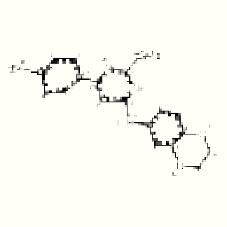 CSc1nc(Nc2ccc3c(c2)OCCO3)cc(-c2ccc(C(C)(C)C)cc2)n1